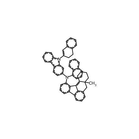 CC12CCCCC1=C1c3c(cccc3-c3cccc(N(c4ccc5c6ccccc6n(C6=Cc7ccccc7CC6)c5c4)c4cccc5ccccc45)c31)C2